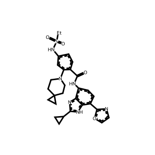 CCS(=O)(=O)Nc1ccc(C(=O)Nc2ccc(-c3ncco3)c3[nH]c(C4CC4)nc23)c(N2CCC3(CC2)CC3)c1